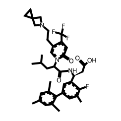 Cc1cc(C)c(-c2cc(C)c(F)c([C@H](CC(=O)O)NC(=O)C(CC(C)C)n3cc(CCN4CC5(CC5)C4)c(C(F)(F)F)cc3=O)c2)c(C)c1